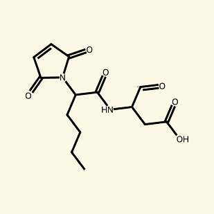 CCCCC(C(=O)NC([C]=O)CC(=O)O)N1C(=O)C=CC1=O